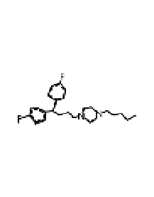 CCCCCN1CCN(CCCC(c2ccc(F)cc2)c2ccc(F)cc2)CC1